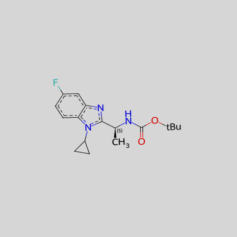 C[C@H](NC(=O)OC(C)(C)C)c1nc2cc(F)ccc2n1C1CC1